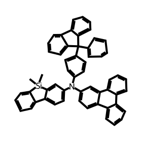 C[Si]1(C)c2ccccc2-c2ccc(N(c3ccc(C4(c5ccccc5)c5ccccc5-c5ccccc54)cc3)c3ccc4c5ccccc5c5ccccc5c4c3)cc21